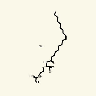 CCCCCCCC/C=C\CCCCCCCC(=O)N[C@@H](CCCNC(=N)N)C(=O)[O-].[Na+]